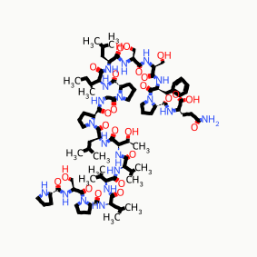 CC[C@H](C)[C@H](NC(=O)[C@@H]1CCCN1C(=O)CNC(=O)[C@@H]1CCCN1C(=O)[C@H](CC(C)C)NC(=O)[C@@H](NC(=O)[C@@H](NC(=O)[C@@H](NC(=O)[C@@H](NC(=O)[C@@H]1CCCN1C(=O)[C@H](CO)NC(=O)[C@@H]1CCCN1)C(C)C)C(C)C)C(C)C)[C@@H](C)O)C(=O)N[C@@H](CC(C)C)C(=O)N[C@@H](CO)C(=O)N[C@@H](CO)C(=O)N[C@@H](Cc1ccccc1)C(=O)N1CCC[C@H]1C(=O)N[C@@H](CCC(N)=O)C(=O)O